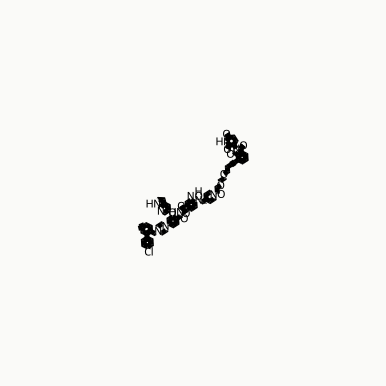 CC1(C)CCC(CN2CCN(c3ccc(C(=O)NS(=O)(=O)c4ccc(NCC5CCN(C(=O)COCCOCCC#Cc6cccc7c6C(=O)N(C6CCC(=O)NC6=O)C7=O)CC5)c([N+](=O)[O-])c4)c(Oc4cnc5[nH]ccc5c4)c3)CC2)=C(c2ccc(Cl)cc2)C1